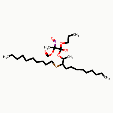 CCCCCCCCCCSC(CCCCCCCCC)C(C)OC(O)(OCCC)C(C)(OC=O)P=O